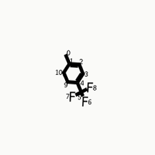 CC1=CC=C(C(F)(F)F)C[CH]1